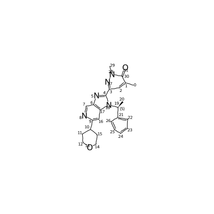 Cc1cc(-c2nc3cnc(C4CCOCC4)cc3n2[C@@H](C)c2ccccc2)nn(C)c1=O